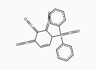 O=C=C1C=CC(P(=C=O)(c2ccccc2)c2ccccc2)C(=C=O)C1=C=O